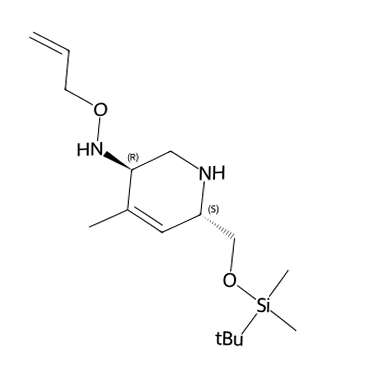 C=CCON[C@H]1CN[C@H](CO[Si](C)(C)C(C)(C)C)C=C1C